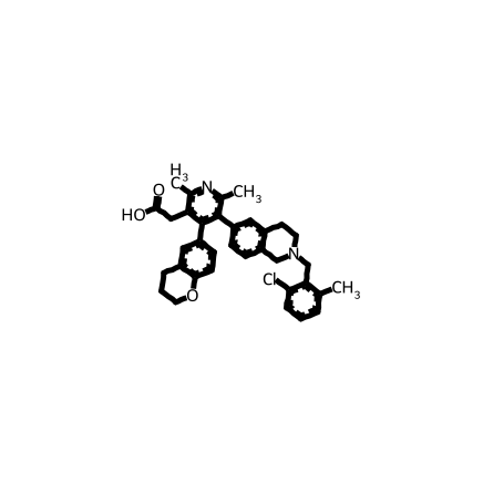 Cc1cccc(Cl)c1CN1CCc2cc(-c3c(C)nc(C)c(CC(=O)O)c3-c3ccc4c(c3)CCCO4)ccc2C1